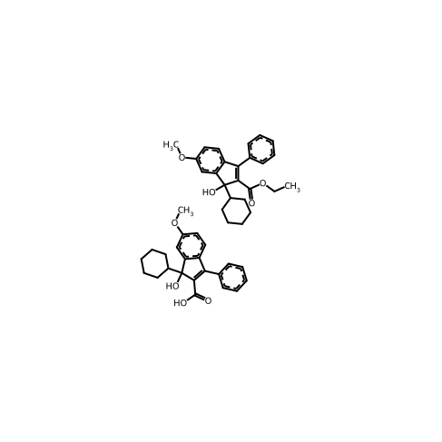 CCOC(=O)C1=C(c2ccccc2)c2ccc(OC)cc2C1(O)C1CCCCC1.COc1ccc2c(c1)C(O)(C1CCCCC1)C(C(=O)O)=C2c1ccccc1